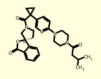 CC(C)CC(=O)N1CCN(c2ccc(C3(C(=O)N4CC[C@@]5(C4)OC(=O)c4ccccc45)CC3)cn2)CC1